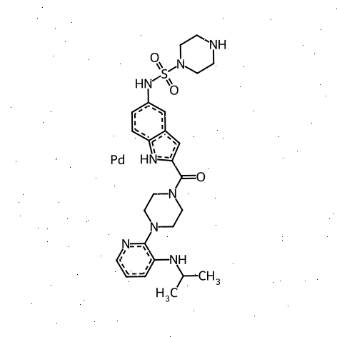 CC(C)Nc1cccnc1N1CCN(C(=O)c2cc3cc(NS(=O)(=O)N4CCNCC4)ccc3[nH]2)CC1.[Pd]